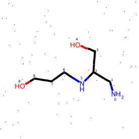 NCC(CO)NCCCO